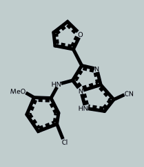 COc1ccc(Cl)cc1Nc1c(-c2ccco2)nc2c(C#N)c[nH]n12